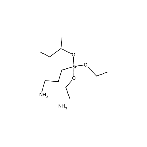 CCO[Si](CCCN)(OCC)OC(C)CC.N